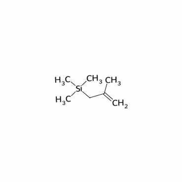 C=C(C)C[Si](C)(C)C